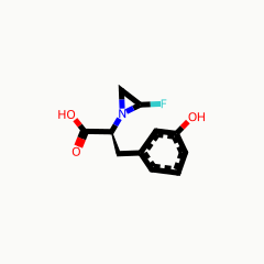 O=C(O)[C@H](Cc1cccc(O)c1)N1CC1F